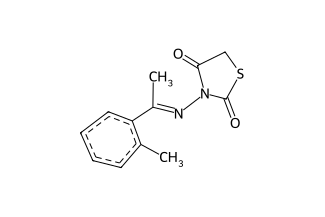 CC(=NN1C(=O)CSC1=O)c1ccccc1C